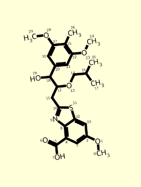 COc1cc(C(=O)O)c2nc(CC(OCC(C)C)C(O)c3cc(OC)c(C)c(OC)c3)sc2c1